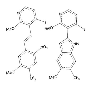 COc1cc(/C=C/c2c(I)ccnc2OC)c([N+](=O)[O-])cc1C(F)(F)F.COc1cc2cc(-c3c(I)ccnc3OC)[nH]c2cc1C(F)(F)F